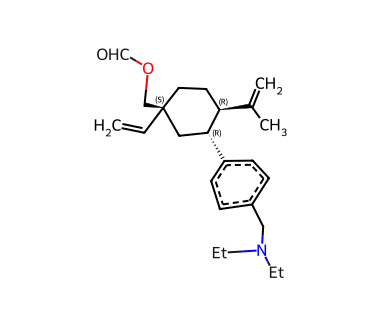 C=C[C@]1(COC=O)CC[C@@H](C(=C)C)[C@H](c2ccc(CN(CC)CC)cc2)C1